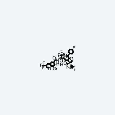 COc1cc(C(=O)NC[C@](O)(c2cc3c(c(-c4ccc(F)cc4)n2)OC[C@]3(C(N)=O)C2CC2)C(F)(F)F)cc2cc(C(F)(F)F)cnc12